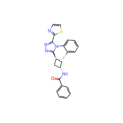 O=C(N[C@H]1C[C@H](c2nnc(-c3nccs3)n2-c2ccccc2F)C1)c1ccccc1